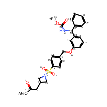 COC(=O)CC1CN(S(=O)(=O)c2ccc(COc3cccc([C@@H](NC(=O)OC(C)(C)C)c4ccccc4)c3)cc2)C1